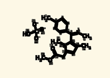 CN=C(c1ccc(C)cc1)c1c(C)cc(CC(=O)OC)n1C.[O-][Cl+3]([O-])([O-])O